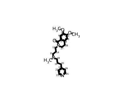 COc1cc2c(cc1OC)C(=O)N(CCCN(C)CCCc1ccncc1)CC2